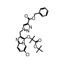 CC(C)(C)OC(=O)C(C)(C)Oc1c(Cn2cc(C(=O)OCc3ccccc3)nn2)nc2ccc(Cl)cn12